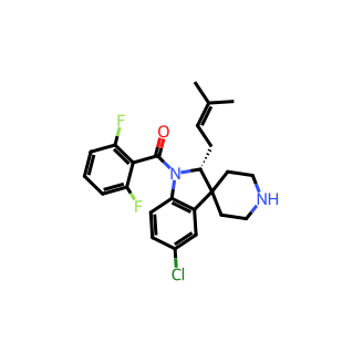 CC(C)=CC[C@H]1N(C(=O)c2c(F)cccc2F)c2ccc(Cl)cc2C12CCNCC2